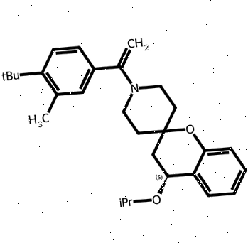 C=C(c1ccc(C(C)(C)C)c(C)c1)N1CCC2(CC1)C[C@H](OC(C)C)c1ccccc1O2